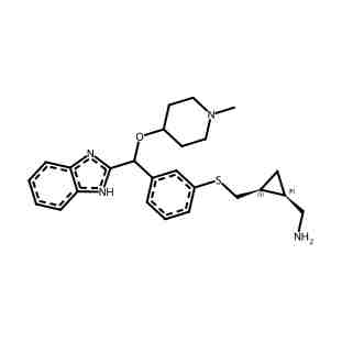 CN1CCC(OC(c2cccc(SC[C@H]3C[C@H]3CN)c2)c2nc3ccccc3[nH]2)CC1